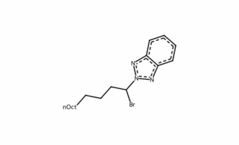 CCCCCCCCCCCC(Br)n1nc2ccccc2n1